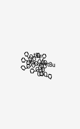 CC(C)(C)C(=O)OC1[C@H](OCC2O[C@H](O[C@@H]3C(COCc4ccccc4)OC=C[C@@H]3OCc3ccccc3)C(OC(=O)C(C)(C)C)[C@H](OCc3ccccc3)[C@H]2OCc2ccccc2)OC(COCc2ccccc2)[C@@H](OCc2ccccc2)[C@@H]1OCc1ccccc1